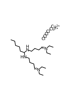 CCCCCC(NCCCC[16N](CC)CC)NCCCC[16N](CC)CC.[Cl-].[Cl-].[Cl-].[Cl-].[Cu+2].[Cu+2]